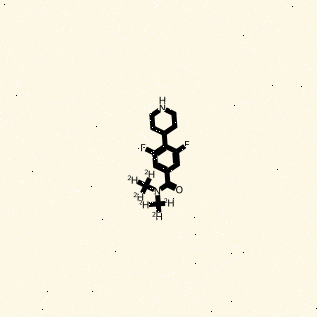 [2H]C([2H])([2H])N(C(=O)c1cc(F)c(C2CCNCC2)c(F)c1)C([2H])([2H])[2H]